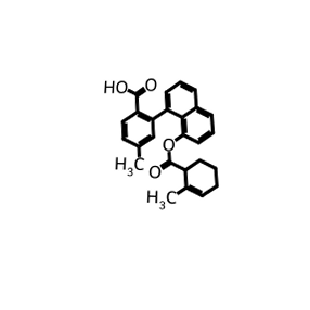 CC1=CCCCC1C(=O)Oc1cccc2cccc(-c3cc(C)ccc3C(=O)O)c12